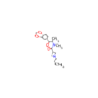 CCCN1CC(C(=O)N(C)[C@H](C)C(=O)c2ccc3c(c2)OCO3)C1